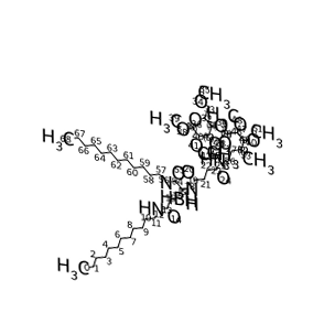 CCCCCCCCCCCCNC(=O)CB[C@H](NC(=O)CCC(=O)NCC1O[C@H](O[C@@H]2C(COC)O[C@H](OC)C(OC)[C@H]2OC)C(OC)[C@@H](OC)[C@@H]1C)C(=O)NCCCCCCCCCCCC